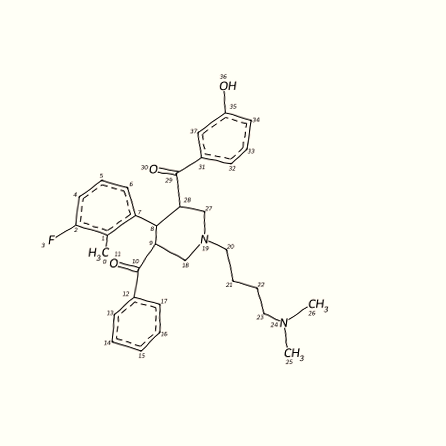 Cc1c(F)cccc1C1C(C(=O)c2ccccc2)CN(CCCCN(C)C)CC1C(=O)c1cccc(O)c1